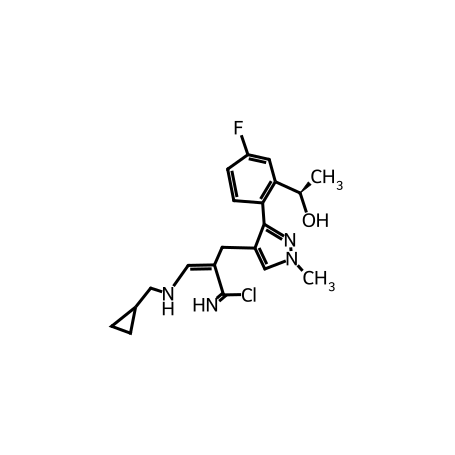 C[C@@H](O)c1cc(F)ccc1-c1nn(C)cc1C/C(=C/NCC1CC1)C(=N)Cl